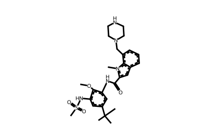 COc1c(NC(=O)c2cc3cccc(CN4CCNCC4)c3n2C)cc(C(C)(C)C)cc1NS(C)(=O)=O